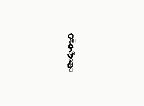 O=c1cc(OCc2ccc(Cl)cn2)ccn1CCc1ccc(CNC2CCCCCC2)cc1